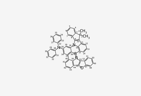 CC1(C)c2ccccc2-c2c1c1cccc3c1n2-c1cc(N(c2ccccc2)c2ccccc2)cc2c1B3n1c3c-2cccc3c2oc3ccccc3c21